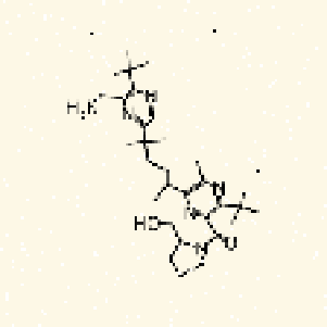 Cc1nc(C(C)(C)C)c(C(=O)N2CCCC2CO)nc1C(C)CCC(C)(C)c1cnc(C(C)(C)C)c(CN)n1